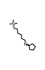 C[Si](C)(C)SCCCCCN=C1CCCC1